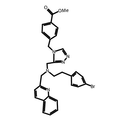 COC(=O)c1ccc(Cn2cnnc2CN(CCc2ccc(Br)cc2)Cc2ccc3ccccc3n2)cc1